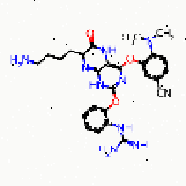 CN(C)c1ccc(C#N)cc1OC1=C2NC(=O)C(CCCCN)N=C2NC(Oc2ccccc2NC(=N)N)=N1